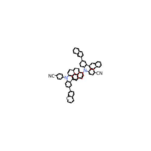 N#Cc1ccc(N(C2=C3C=CC4=C5C(=CC=C(C=C2)C35)C(N(c2ccc(C#N)cc2)c2ccc(-c3ccc5ccccc5c3)cc2-c2ccc3ccccc3c2)C=C4)c2ccc(-c3ccc4ccccc4c3)cc2-c2ccc3ccccc3c2)cc1